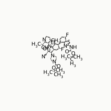 Cc1ccnc(C(C)C)c1-n1c(=O)c(C#N)c(N2CCN(C(=O)OC(C)(C)C)CC2)c2cc(F)c(-c3ccc(F)c4sc(NC(=O)OC(C)(C)C)nc34)c(Cl)c21